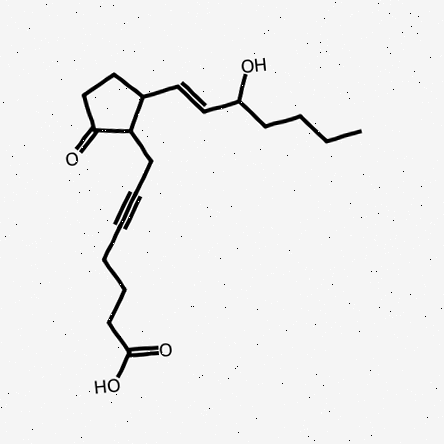 CCCCC(O)C=CC1CCC(=O)C1CC#CCCCC(=O)O